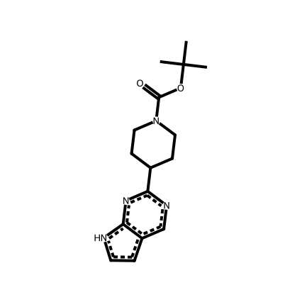 CC(C)(C)OC(=O)N1CCC(c2ncc3cc[nH]c3n2)CC1